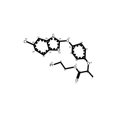 CC(C)CCOC(=O)C(C)Oc1ccc(Oc2nc3cc(Cl)ccc3o2)cc1